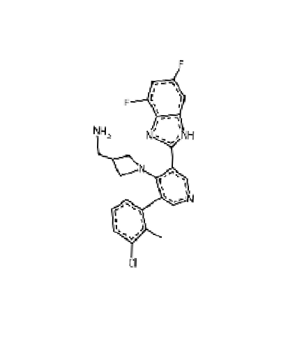 Cc1c(Cl)cccc1-c1cncc(-c2nc3c(F)cc(F)cc3[nH]2)c1N1CC(CN)C1